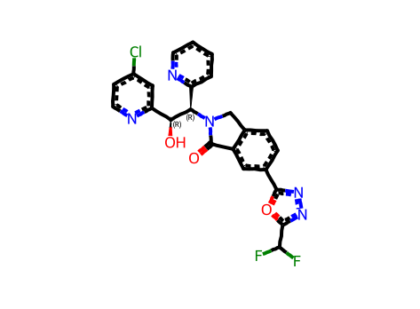 O=C1c2cc(-c3nnc(C(F)F)o3)ccc2CN1[C@H](c1ccccn1)[C@@H](O)c1cc(Cl)ccn1